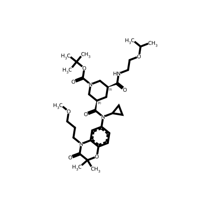 COCCCN1C(=O)C(C)(C)Oc2ccc(N(C(=O)[C@@H]3C[C@H](C(=O)NCCOC(C)C)CN(C(=O)OC(C)(C)C)C3)C3CC3)cc21